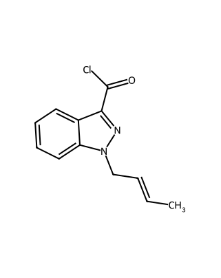 CC=CCn1nc(C(=O)Cl)c2ccccc21